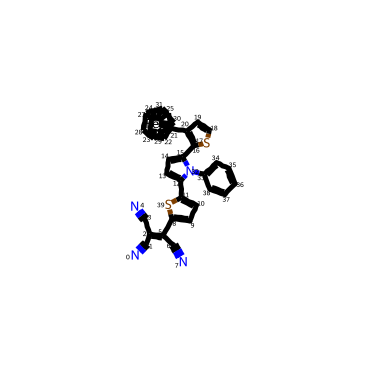 N#CC(C#N)=C(C#N)c1ccc(-c2ccc(-c3sccc3[C]34[CH]5[CH]6[CH]7[CH]3[Fe]6754389%10[CH]4[CH]3[CH]8[CH]9[CH]4%10)n2-c2ccccc2)s1